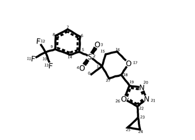 CC1(S(=O)(=O)c2cccc(C(F)(F)F)c2)CCOC(c2nnc(C3CC3)o2)C1